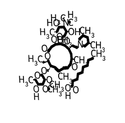 CCCCCCCCCC(=O)O.CC[C@H]1OC(=O)C[C@@H](O)[C@H](C)[C@@H](O[C@@H]2O[C@H](C)[C@@H](O)[C@H](N(C)C)[C@H]2O)[C@@H](CCN2C[C@H](C)C[C@H](C)C2)C[C@@H](C)C(=O)/C=C/C(C)=C/[C@@H]1CO[C@@H]1O[C@H](C)[C@@H](O)[C@@H](OC)[C@H]1OC